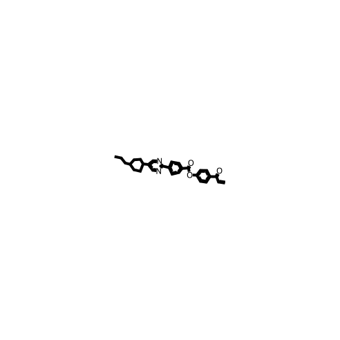 C=CC(=O)c1ccc(OC(=O)c2ccc(-c3ncc(C4CCC(CCC)CC4)cn3)cc2)cc1